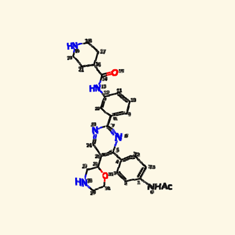 CC(=O)Nc1ccc(-c2nc(-c3cccc(NC(=O)C4CCNCC4)c3)ncc2C2CNCCO2)cc1